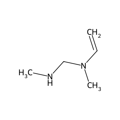 C=CN(C)CNC